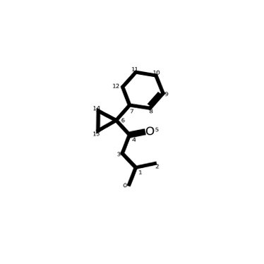 CC(C)CC(=O)C1(C2C=CCCC2)CC1